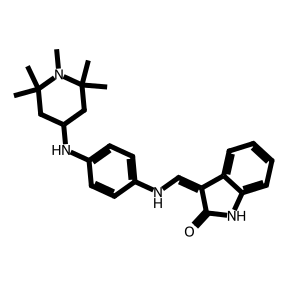 CN1C(C)(C)CC(Nc2ccc(NC=C3C(=O)Nc4ccccc43)cc2)CC1(C)C